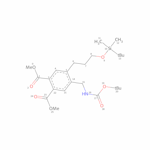 COC(=O)c1cc(CCCO[Si](C)(C)C(C)(C)C)c(CNC(=O)OC(C)(C)C)cc1C(=O)OC